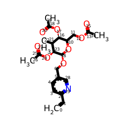 C=Cc1ccc(CO[C@@H]2OC(COC(C)=O)[C@@H](OC(C)=O)C(C)[C@@H]2OC(C)=O)cn1